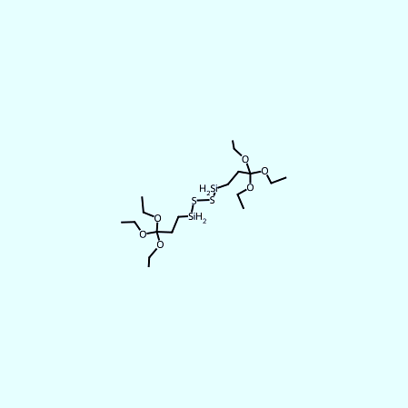 CCOC(CC[SiH2]SS[SiH2]CCC(OCC)(OCC)OCC)(OCC)OCC